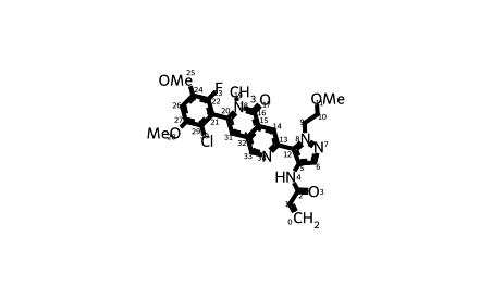 C=CC(=O)Nc1cnn(CCOC)c1-c1cc2c(=O)n(C)c(-c3c(F)c(OC)cc(OC)c3Cl)cc2cn1